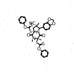 CN1C(=O)[C@@]2(SC(=S)Oc3ccccc3)C[C@](C)(C#N)C(c3ccc4c(c3)OCO4)N2C(=O)[C@]1(C)SC(=S)Oc1ccccc1